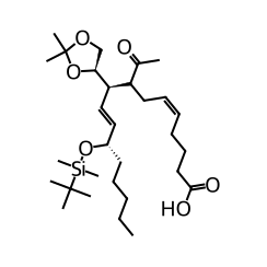 CCCCC[C@@H](/C=C/[C@H](C(C/C=C\CCCC(=O)O)C(C)=O)[C@@H]1COC(C)(C)O1)O[Si](C)(C)C(C)(C)C